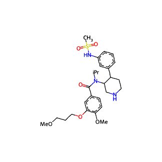 COCCCOc1cc(C(=O)N(C(C)C)C2CNCCC2c2cccc(NS(C)(=O)=O)c2)ccc1OC